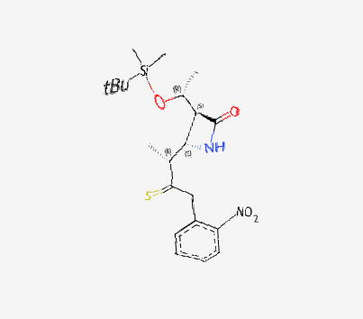 C[C@@H](O[Si](C)(C)C(C)(C)C)[C@H]1C(=O)N[C@@H]1[C@@H](C)C(=S)Cc1ccccc1[N+](=O)[O-]